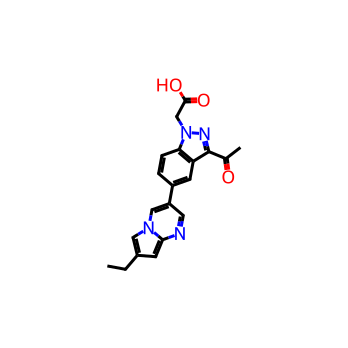 CCc1cc2ncc(-c3ccc4c(c3)c(C(C)=O)nn4CC(=O)O)cn2c1